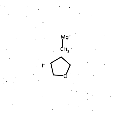 C1CCOC1.[CH3][Mg+].[I-]